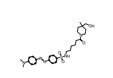 CN(C)c1ccc(/N=N/c2ccc(S(=O)(=O)NCCCCCC(=O)N3CCC(C)(CO)CC3)cc2)cc1